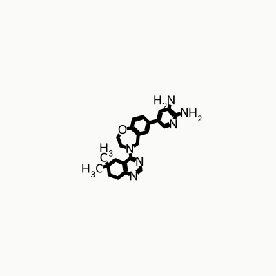 CC1(C)CCc2ncnc(N3CCOc4ccc(-c5cnc(N)c(N)c5)cc4C3)c2C1